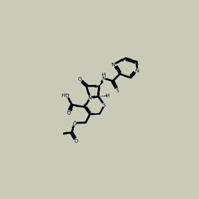 CC(=O)OCC1=C(C(=O)O)N2C(=O)[C@@H](NC(=S)c3cnccn3)[C@H]2SC1